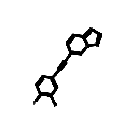 Fc1ccc(C#Cc2ccc3ncnn3c2)cc1F